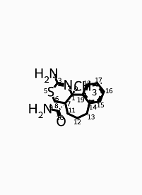 C[C@]12N=C(N)SC[C@]1(C(N)=O)CCCc1cc[c]cc12